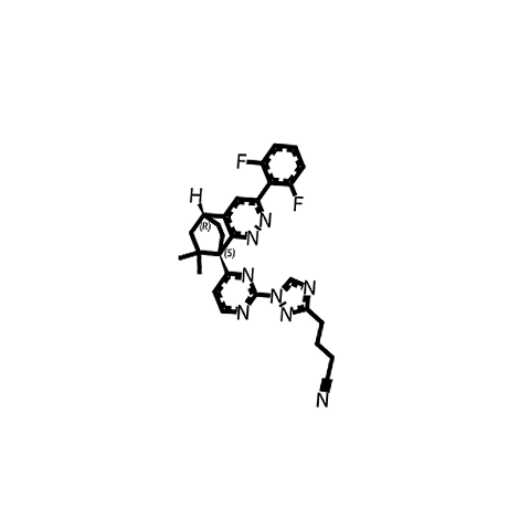 CC1(C)C[C@H]2CC[C@]1(c1ccnc(-n3cnc(CCCC#N)n3)n1)c1nnc(-c3c(F)cccc3F)cc12